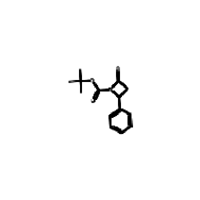 CC(C)(C)OC(=O)N1C(=O)CC1c1ccccc1